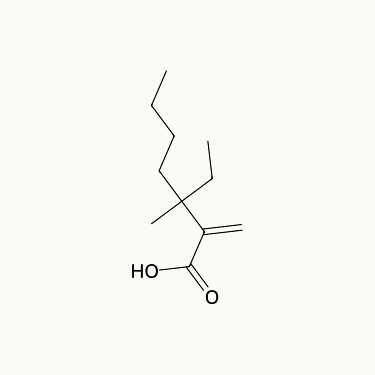 C=C(C(=O)O)C(C)(CC)CCCC